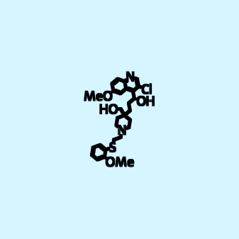 COc1ccc2ncc(Cl)c([C@@H](O)CCC3(CO)CCN(CCSc4ccccc4OC)CC3)c2c1